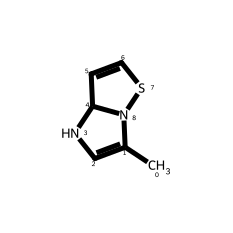 CC1=CNC2C=CSN12